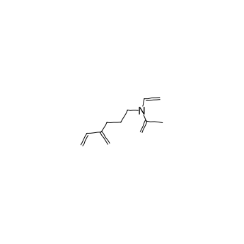 C=CC(=C)CCCN(C=C)C(=C)C